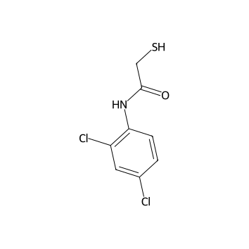 O=C(CS)Nc1ccc(Cl)cc1Cl